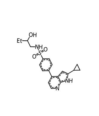 CCC(O)CNS(=O)(=O)c1ccc(-c2ccnc3[nH]c(C4CC4)cc23)cc1